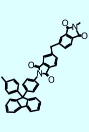 Cc1ccc(C2(c3ccc(N4C(=O)c5ccc(Cc6ccc7c(c6)C(=O)N(C)C7=O)cc5C4=O)cc3)c3ccccc3-c3ccccc32)cc1